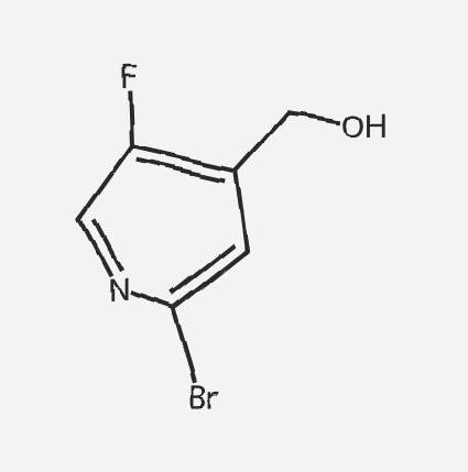 OCc1cc(Br)ncc1F